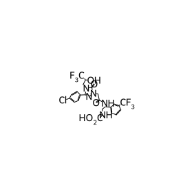 O=C(O)NCC(NC(=O)Cn1nc(-c2ccc(Cl)cc2)n(C[C@H](O)C(F)(F)F)c1=O)c1cccc(C(F)(F)F)c1